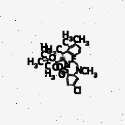 Cc1ccc(F)c(C(C)[C@@H](C(=O)OC(C)(C)C)N2CCN(C)c3cc(Cl)ccc3S2(=O)=O)c1C